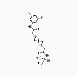 CCC(C)(C)NC(=O)CN1CC2(CN(CC(=O)Nc3cc(F)cc(Cl)c3)C2)C1